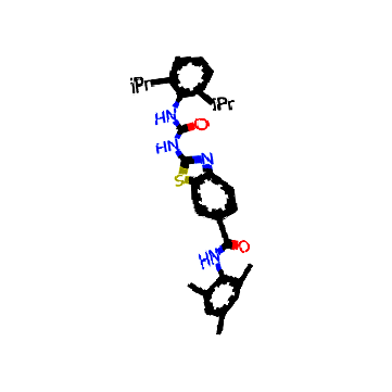 Cc1cc(C)c(NC(=O)c2ccc3nc(NC(=O)Nc4c(C(C)C)cccc4C(C)C)sc3c2)c(C)c1